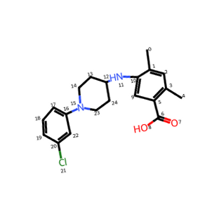 Cc1cc(C)c(C(=O)O)cc1NC1CCN(c2cccc(Cl)c2)CC1